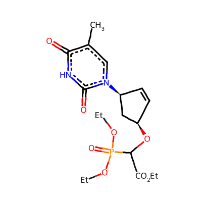 CCOC(=O)C(O[C@@H]1C=C[C@H](n2cc(C)c(=O)[nH]c2=O)C1)P(=O)(OCC)OCC